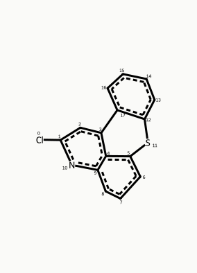 Clc1cc2c3c(cccc3n1)Sc1ccccc1-2